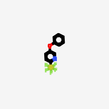 FS(F)(F)(F)(F)c1ccc(Oc2ccccc2)cn1